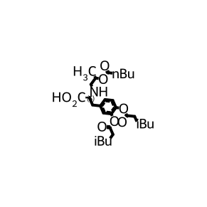 CCCCC(=O)OC(C)CN[C@@H](Cc1ccc(OC(=O)CC(C)CC)c(OC(=O)CC(C)CC)c1)C(=O)O